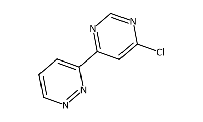 Clc1cc(-c2cccnn2)ncn1